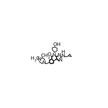 C[C@@H]1CN(Cc2ccc3c(c2)c(=O)n([C@H]2CC[C@H](O)CC2)c2nc(NCC4CC4)ncc32)CCN1C